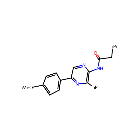 CCCc1nc(-c2ccc(OC)cc2)cnc1NC(=O)CC(C)C